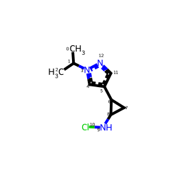 CC(C)n1cc(C2CC2NCl)cn1